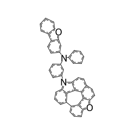 c1ccc(N(c2cccc(-n3c4cccc5c4c4c6c(ccc7oc8cccc-5c8c76)ccc43)c2)c2ccc3c(c2)oc2ccccc23)cc1